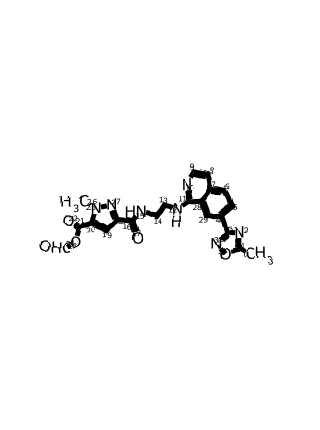 Cc1nc(-c2ccc3ccnc(NCCNC(=O)c4cc(C(=O)OC=O)n(C)n4)c3c2)no1